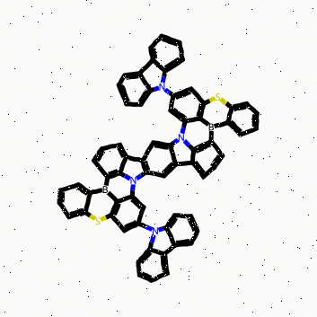 c1ccc2c(c1)Sc1cc(-n3c4ccccc4c4ccccc43)cc3c1B2c1cccc2c4cc5c(cc4n-3c12)c1cccc2c1n5-c1cc(-n3c4ccccc4c4ccccc43)cc3c1B2c1ccccc1S3